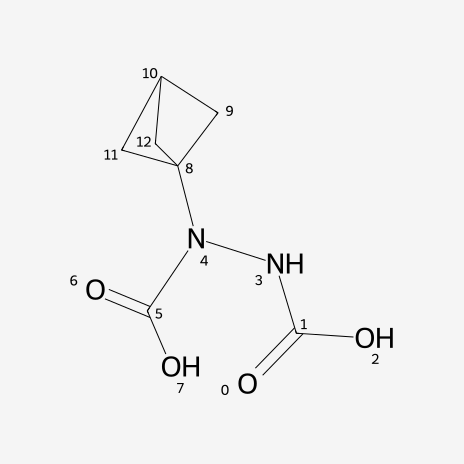 O=C(O)NN(C(=O)O)C12CC(C1)C2